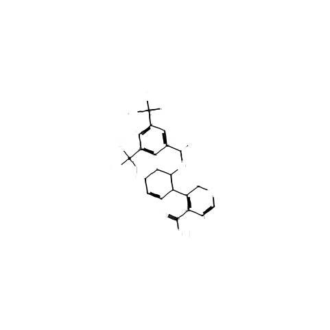 C[C@@H](OC1CCC=CC1C1=C(C(=O)O)C=COC1)c1cc(C(F)(F)F)cc(C(F)(F)F)c1